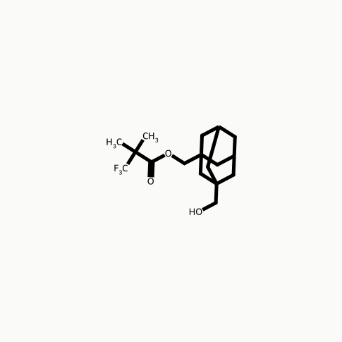 CC(C)(C(=O)OCC12CC3CC(CC(CO)(C3)C1)C2)C(F)(F)F